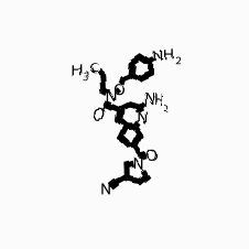 CCCN(OCc1ccc(N)cc1)C(=O)C1=Cc2ccc(C(=O)N3CCC(C#N)C3)cc2N=C(N)C1